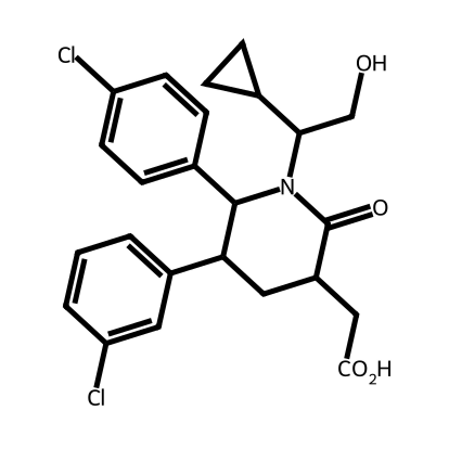 O=C(O)CC1CC(c2cccc(Cl)c2)C(c2ccc(Cl)cc2)N(C(CO)C2CC2)C1=O